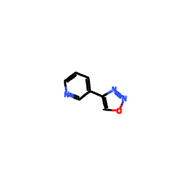 [c]1onnc1-c1cccnc1